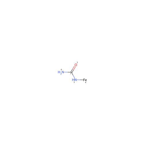 NC(=O)[NH][Fe]